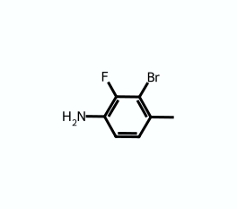 Cc1ccc(N)c(F)c1Br